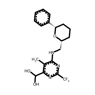 Cc1c(NC[C@H]2CCC[C@@H](c3ccccc3)O2)nc(C(F)(F)F)nc1C(O)O